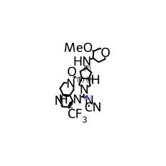 COC1COCCC1N[C@@H]1C[C@H]2CN(/C(N)=N/C#N)C[C@@]2(C(=O)N2CCc3ncc(C(F)(F)F)cc3C2)C1